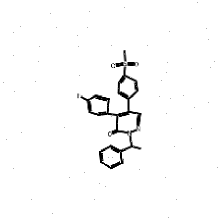 CC(c1ccccc1)n1ncc(-c2ccc(S(C)(=O)=O)cc2)c(-c2ccc(F)cc2)c1=O